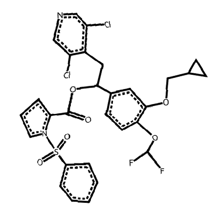 O=C(OC(Cc1c(Cl)cncc1Cl)c1ccc(OC(F)F)c(OCC2CC2)c1)c1cccn1S(=O)(=O)c1ccccc1